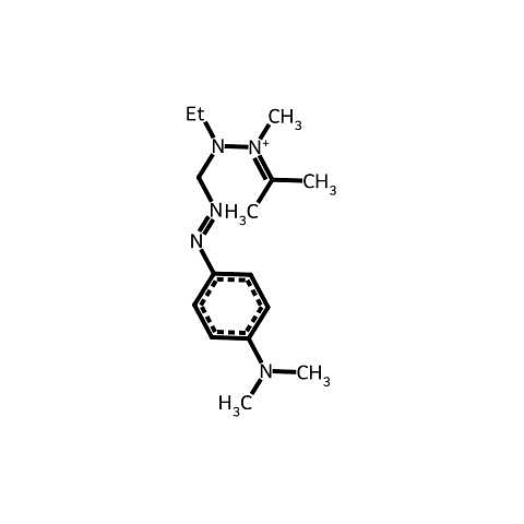 CCN(CN=Nc1ccc(N(C)C)cc1)[N+](C)=C(C)C